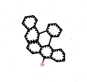 Brc1c2ccccc2c(-c2ccccc2-c2cccc3ccccc23)c2ccccc12